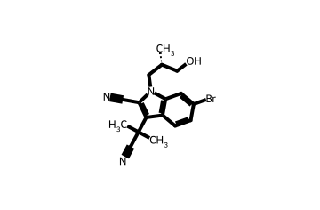 C[C@H](CO)Cn1c(C#N)c(C(C)(C)C#N)c2ccc(Br)cc21